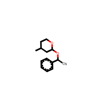 CC1CCOC(OC(C#N)c2ccccc2)C1